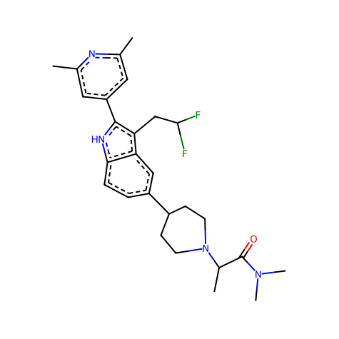 Cc1cc(-c2[nH]c3ccc(C4CCN(C(C)C(=O)N(C)C)CC4)cc3c2CC(F)F)cc(C)n1